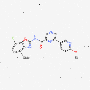 CCOc1ccc(-c2cncc(C(=O)Nc3nc4c(OC)ccc(F)c4o3)n2)cn1